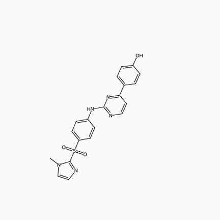 Cn1ccnc1S(=O)(=O)c1ccc(Nc2nccc(-c3ccc(O)cc3)n2)cc1